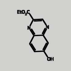 CCOC(=O)c1cnc2cc(O)ccc2n1